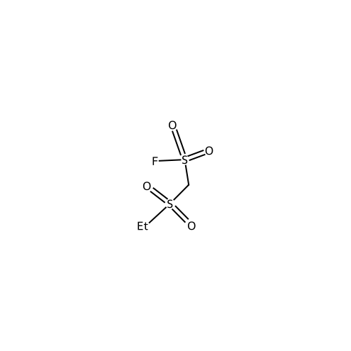 CCS(=O)(=O)CS(=O)(=O)F